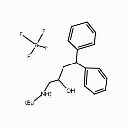 CC(C)(C)[NH2+]CC(O)CC(c1ccccc1)c1ccccc1.F[B-](F)(F)F